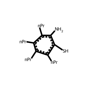 CCCc1c(N)c(S)c(CCC)c(CCC)c1CCC